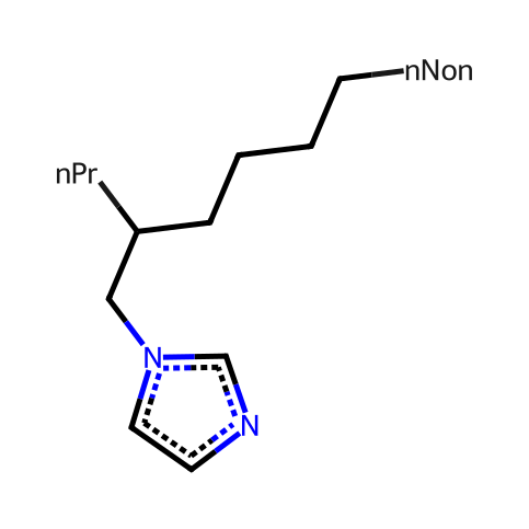 CCCCCCCCCCCCCC(CCC)Cn1ccnc1